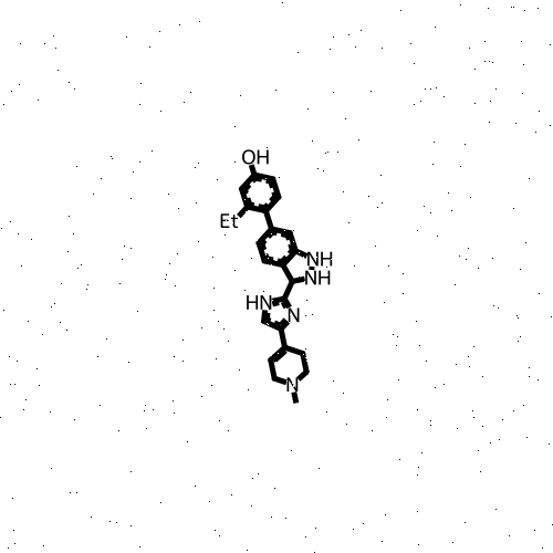 CCc1cc(O)ccc1-c1ccc2c(c1)NNC2c1nc(C2=CCN(C)CC2)c[nH]1